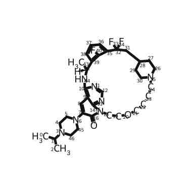 CC(C)N1CCN(c2cc3c4ncnc3n(c2=O)CCOCCCCN2CCC(CC2)CC(F)(F)c2cccc(c2F)[C@@H](C)N4)CC1